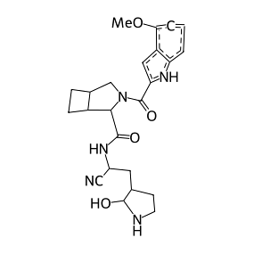 COc1cccc2[nH]c(C(=O)N3CC4CCC4C3C(=O)NC(C#N)CC3CCNC3O)cc12